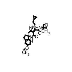 CC1(NC(=O)c2c3c(nn2CCC2CC2)C[C@]2(CCc4cc(OCC(F)(F)F)ccc42)NC3=O)COC1